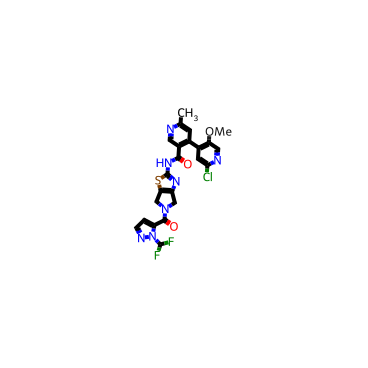 COc1cnc(Cl)cc1-c1cc(C)ncc1C(=O)Nc1nc2c(s1)CN(C(=O)c1ccnn1C(F)F)C2